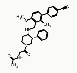 COc1ccc(-c2ccc(C#N)cc2)c(C)c1CN[C@H]1CCN(C(=O)CNC(C)=O)C[C@H]1c1ccccc1